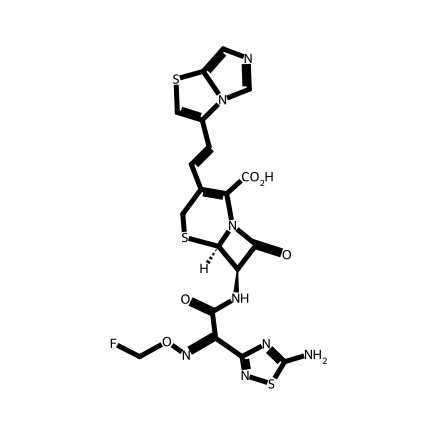 Nc1nc(/C(=N/OCF)C(=O)N[C@@H]2C(=O)N3C(C(=O)O)=C(C=Cc4csc5cncn45)CS[C@H]23)ns1